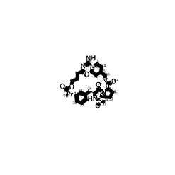 CC(C)C(=O)OCCCC(=O)/N=C(/N)N1CCC(CNC(=O)[C@@H]2CCCN2C(=O)[C@@H](Cc2ccccc2)NS(C)(=O)=O)CC1